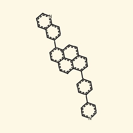 c1cnc2ccc(-c3ccc4ccc5c(-c6ccc(-c7ccncc7)cc6)ccc6ccc3c4c65)cc2c1